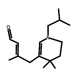 CC(=CC=O)CC1=CN(CC(C)C)CCC1(C)C